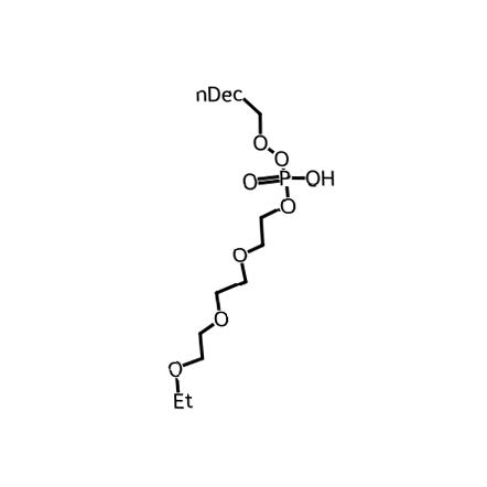 CCCCCCCCCCCOOP(=O)(O)OCCOCCOCCOCC